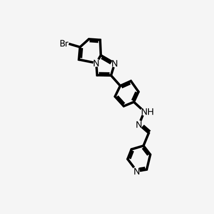 Brc1ccc2nc(-c3ccc(NN=Cc4ccncc4)cc3)cn2c1